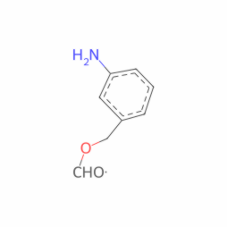 Nc1cccc(CO[C]=O)c1